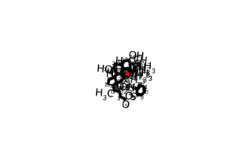 C[C@H](CCC(=O)OSc1ccccc1[N+](=O)[O-])[C@H]1CC[C@H]2[C@@H]3[C@H](O)C[C@@H]4C[C@H](O)C([Si](C)(C)C)C([Si](C)(C)C)([Si](C)(C)C)[C@]4(C)[C@H]3C[C@H](O)[C@]12C